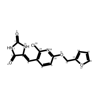 O=C1NC(=O)C(=Cc2ccc(OCc3ccco3)nc2Cl)N1